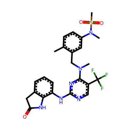 Cc1ccc(N(C)S(C)(=O)=O)cc1CN(C)c1nc(Nc2cccc3c2NC(=O)C3)ncc1C(F)(F)F